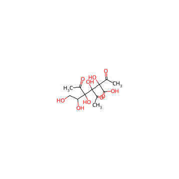 CC(=O)C(O)(C(=O)O)C(O)(C(C)=O)C(O)(C(C)=O)C(O)CO